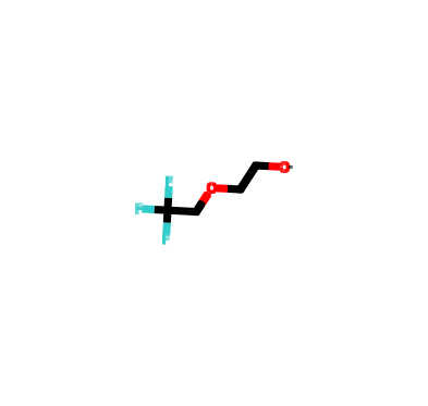 [O]CCOCC(F)(F)F